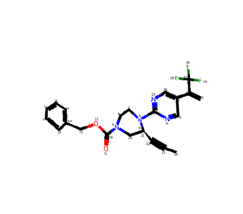 C=C(c1cnc(N2CCN(C(=O)OCc3ccccc3)C[C@@H]2C#CC)nc1)C(F)(F)F